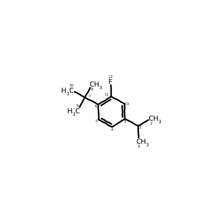 C[C](C)c1ccc(C(C)(C)C)c(F)c1